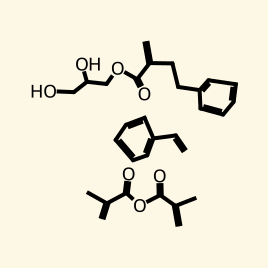 C=C(C)C(=O)OC(=O)C(=C)C.C=C(CCc1ccccc1)C(=O)OCC(O)CO.C=Cc1ccccc1